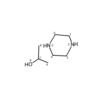 C1CNCCN1.CC(C)O